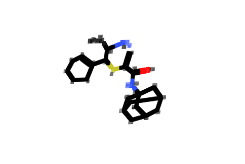 C=C(SC(C1=CCCCC1)C(N)CCCCC)C(=O)NC12CC3CC(CC(C3)C1)C2